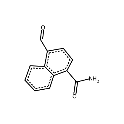 NC(=O)c1ccc(C=O)c2ccccc12